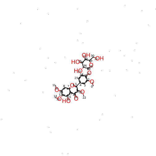 COc1cc(-c2oc3cc(OC)c(OC)c(O)c3c(=O)c2OC)ccc1O[C@H]1OC(CO)[C@@H](O)C(O)C1O